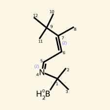 BC(C)(C)/N=C\C=C(\C)C(C)(C)C